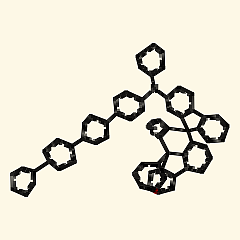 c1ccc(-c2ccc(-c3ccc(-c4ccc(N(c5ccccc5)c5ccc6c(c5)C5(c7ccccc7-6)c6ccccc6C6(c7ccccc7)c7ccccc7-c7cccc5c76)cc4)cc3)cc2)cc1